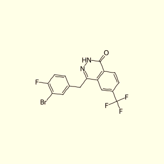 O=c1[nH]nc(Cc2ccc(F)c(Br)c2)c2cc(C(F)(F)F)ccc12